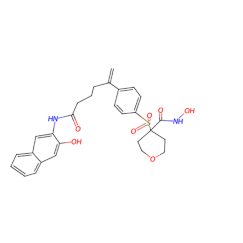 C=C(CCCC(=O)Nc1cc2ccccc2cc1O)c1ccc(S(=O)(=O)C2(C(=O)NO)CCOCC2)cc1